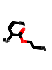 C=CCOC(=O)C(C)/C=C\C